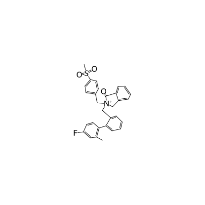 Cc1cc(F)ccc1-c1ccccc1C[N+]1(Cc2ccc(S(C)(=O)=O)cc2)Cc2ccccc2C1=O